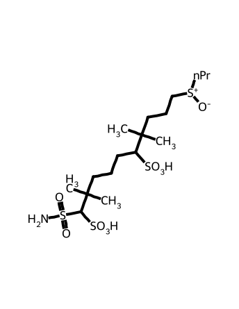 CCC[S+]([O-])CCCC(C)(C)C(CCCC(C)(C)C(S(N)(=O)=O)S(=O)(=O)O)S(=O)(=O)O